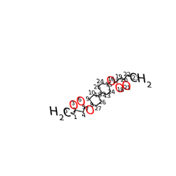 C=CC(=O)CC(=O)OC1CCC(C2CCC(OC(=O)CC(=O)C=C)CC2)CC1